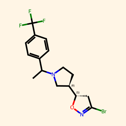 CC(c1ccc(C(F)(F)F)cc1)N1CC[C@@H]([C@@H]2CC(Br)=NO2)C1